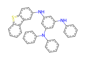 c1ccc(Nc2cc(Nc3ccc4sc5ccccc5c4c3)cc(N(c3ccccc3)c3ccccc3)c2)cc1